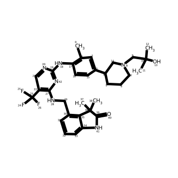 Cc1cc(C2CCCN(CC(C)(C)O)C2)ccc1Nc1ncc(C(F)(F)F)c(NCc2cccc3c2C(C)(C)C(=O)N3)n1